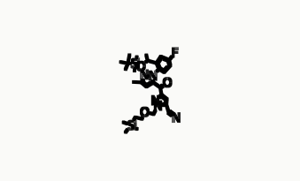 Cc1cc(C(=O)c2cc(C#N)n(COCC[Si](C)(C)C)n2)n(-c2ccc(F)cc2C(C)O[Si](C)(C)C(C)(C)C)n1